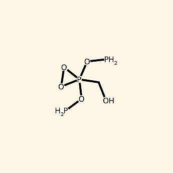 OCP1(OP)(OP)OO1